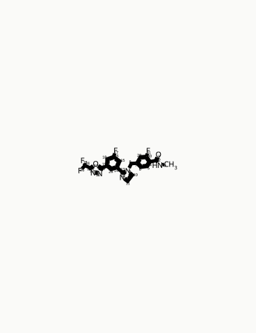 CNC(=O)c1ccc(Cn2ccnc2-c2cc(F)cc(-c3nnc(C(F)F)o3)c2)cc1F